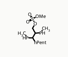 CCCCCC(PC)C(COS(=O)(=O)OC)PC